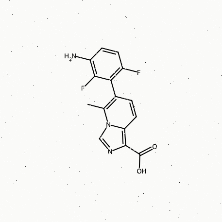 Cc1c(-c2c(F)ccc(N)c2F)ccc2c(C(=O)O)ncn12